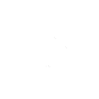 N=C/C(=C\C=C/I)c1ncccn1